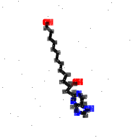 OCCCCCCCCCCCC(O)Cc1ncc2[nH]cnc2n1